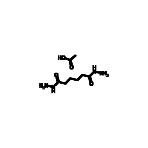 CC(=O)O.NNC(=O)CCCCC(=O)NN